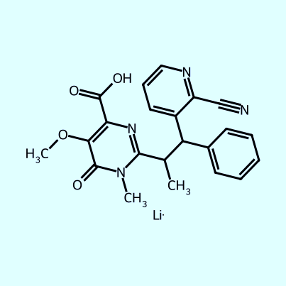 COc1c(C(=O)O)nc(C(C)C(c2ccccc2)c2cccnc2C#N)n(C)c1=O.[Li]